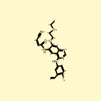 C=Cc1cc(Nc2ncnc3cc(OCCOCC)c(NC(=O)/C=C\C#N)cc23)ccc1F